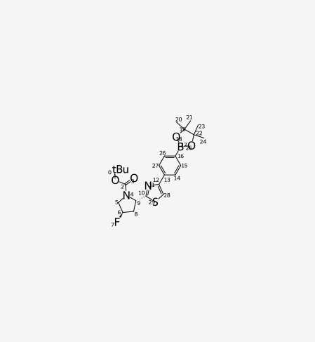 CC(C)(C)OC(=O)N1C[C@H](F)C[C@H]1c1nc(-c2ccc(B3OC(C)(C)C(C)(C)O3)cc2)cs1